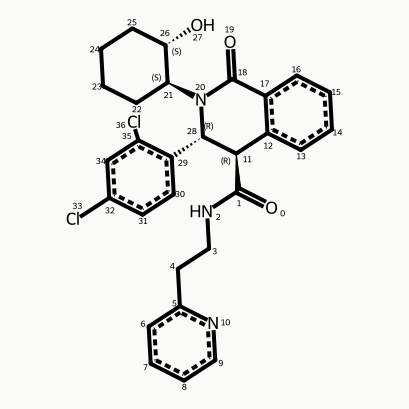 O=C(NCCc1ccccn1)[C@@H]1c2ccccc2C(=O)N([C@H]2CCCC[C@@H]2O)[C@H]1c1ccc(Cl)cc1Cl